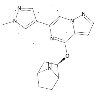 Cn1cc(-c2cn3nccc3c(O[C@@H]3CC4CCC3N4)n2)cn1